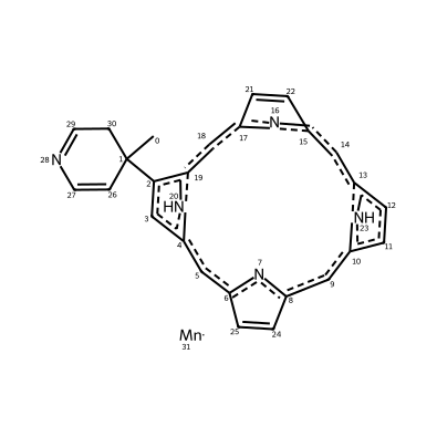 CC1(c2cc3cc4nc(cc5ccc(cc6nc(cc2[nH]3)C=C6)[nH]5)C=C4)C=CN=CC1.[Mn]